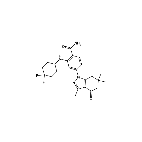 Cc1nn(-c2ccc(C(N)=O)c(NC3CCC(F)(F)CC3)c2)c2c1C(=O)CC(C)(C)C2